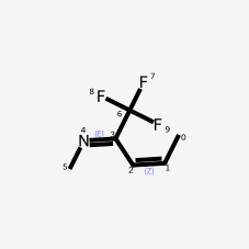 C/C=C\C(=N/C)C(F)(F)F